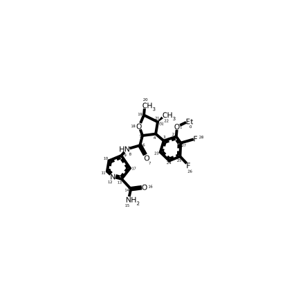 CCOc1c(C2C(C(=O)Nc3ccnc(C(N)=O)c3)OC(C)[C@H]2C)ccc(F)c1F